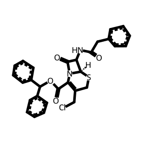 O=C(Cc1ccccc1)NC1C(=O)N2C(C(=O)OC(c3ccccc3)c3ccccc3)=C(CCl)CS[C@H]12